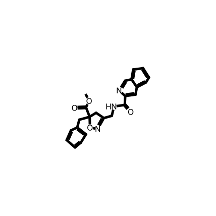 COC(=O)C1(Cc2ccccc2)CC(CNC(=O)c2cc3ccccc3cn2)=NO1